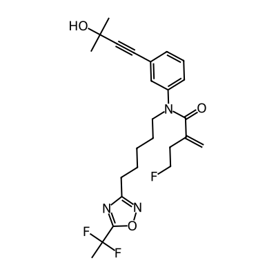 C=C(CCF)C(=O)N(CCCCCc1noc(C(C)(F)F)n1)c1cccc(C#CC(C)(C)O)c1